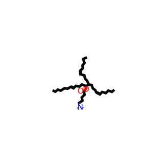 CCCCC/C=C\CCCC(CCC/C=C\CCCCC)C(CCC/C=C/CCCCCC)OC(=O)CCCCN(C)C